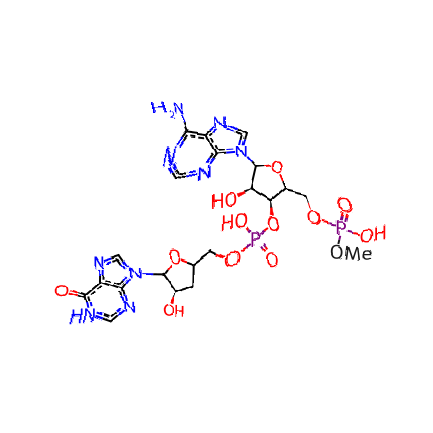 COP(=O)(O)OCC1OC(n2cnc3c(N)ncnc32)[C@H](O)[C@@H]1OP(=O)(O)OCC1C[C@@H](O)C(n2cnc3c(=O)[nH]cnc32)O1